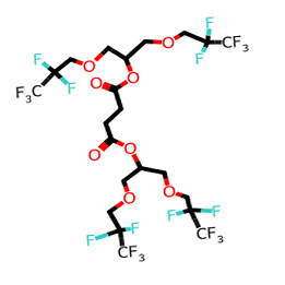 O=C(CCC(=O)OC(COCC(F)(F)C(F)(F)F)COCC(F)(F)C(F)(F)F)OC(COCC(F)(F)C(F)(F)F)COCC(F)(F)C(F)(F)F